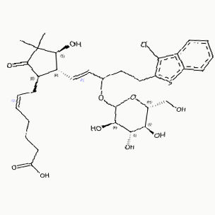 CC1(C)C(=O)[C@H](C/C=C\CCCC(=O)O)[C@@H](/C=C/C(CCc2sc3ccccc3c2Cl)OC2O[C@H](CO)[C@@H](O)[C@H](O)[C@H]2O)[C@@H]1O